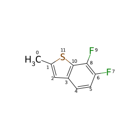 Cc1cc2ccc(F)c(F)c2s1